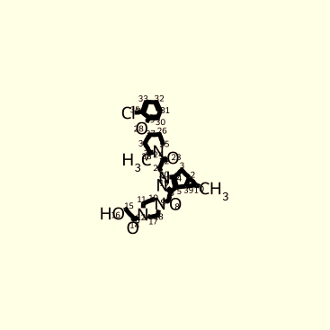 CC1C2Cc3c(c(C(=O)N4CCN(C(=O)CO)CC4)nn3CC(=O)N3CC[C@@H](Oc4ccccc4Cl)C[C@H]3C)C12